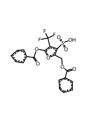 O=C(OCc1oc(OC(=O)c2ccccc2)c(C(F)(F)F)c1S(=O)(=O)O)c1ccccc1